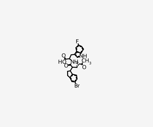 CC(=O)SCC(C(=O)NC(Cc1c[nH]c2ccc(F)cc12)C(=O)O)C1CCc2cc(Br)ccc21